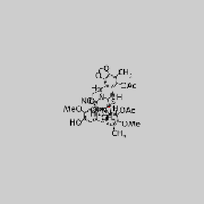 COc1cc2c(cc1O)CCN[C@]21CS[C@@H]2c3c(OC(C)=O)c(C)c4c(c3[C@H](COC1=O)N1C2[C@H]2c3c(cc(C)c(OC)c3OC(C)=O)C[C@@H]([C@@H]1C#N)N2C)OCO4